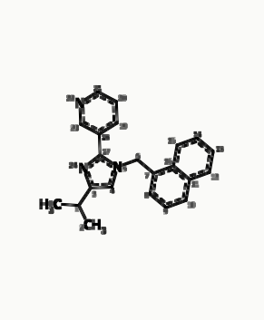 CC(C)c1cn(Cc2cccc3ccccc23)c(-c2cccnc2)n1